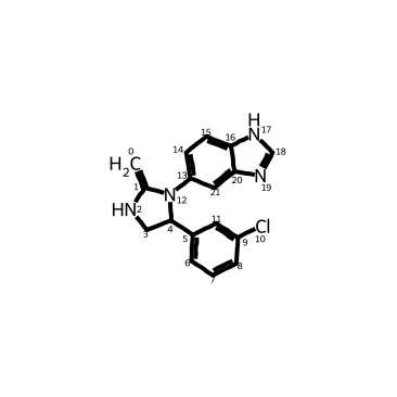 C=C1NCC(c2cccc(Cl)c2)N1c1ccc2[nH]cnc2c1